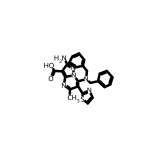 Cc1nc2c(C(=O)O)c(N)nn2c(N(Cc2ccccc2)Cc2ccccc2)c1-c1nccs1